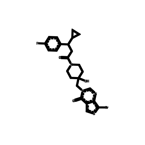 O=C(CC(c1ccc(F)cc1)C1CC1)N1CCC(O)(Cn2cnc3c(Br)scc3c2=O)CC1